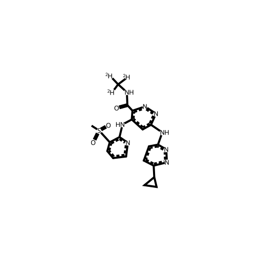 [2H]C([2H])([2H])NC(=O)c1nnc(Nc2ccc(C3CC3)nn2)cc1Nc1ncccc1S(C)(=O)=O